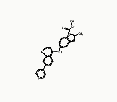 CNC(=O)n1c(C)cc2cc(Nc3ccnc4cc(-c5ccncc5)ccc34)ccc21